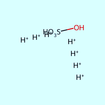 O=S(=O)(O)O.[H+].[H+].[H+].[H+].[H+].[H+].[H+]